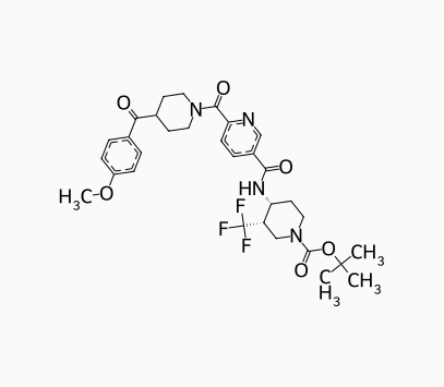 COc1ccc(C(=O)C2CCN(C(=O)c3ccc(C(=O)N[C@@H]4CCN(C(=O)OC(C)(C)C)C[C@@H]4C(F)(F)F)cn3)CC2)cc1